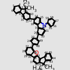 CC1(C)c2ccccc2-c2ccc(-c3ccc4c(c3)c3cc(-c5ccc(-c6cccc7c6oc6c8c(ccc67)C(C)(C)c6ccccc6-8)cc5)ccc3n4-c3ccccc3)cc21